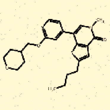 CCCCc1cc2c(=O)n(C)cc(-c3ccnc(OCC4CCOCC4)c3)c2s1